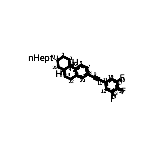 CCCCCCC[C@@H]1CC[C@@H]2c3ccc(C#Cc4cc(F)c(F)c(F)c4)cc3CC[C@@H]2C1